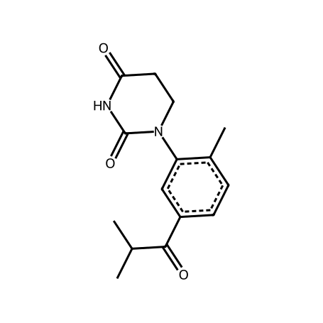 Cc1ccc(C(=O)C(C)C)cc1N1CCC(=O)NC1=O